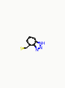 S=[C]c1cccc2[nH]nnc12